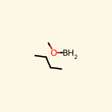 BOC.CCCC